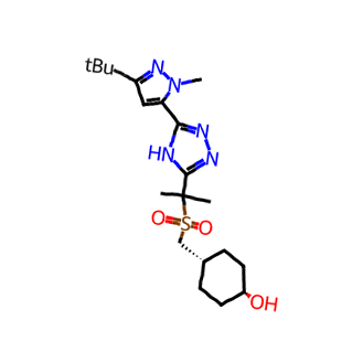 Cn1nc(C(C)(C)C)cc1-c1nnc(C(C)(C)S(=O)(=O)C[C@H]2CC[C@H](O)CC2)[nH]1